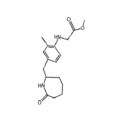 COC(=O)CNc1ccc(CC2CCCCC(=O)N2)cc1C